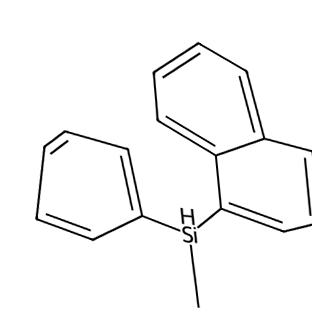 C[SiH](c1ccccc1)c1cccc2ccccc12